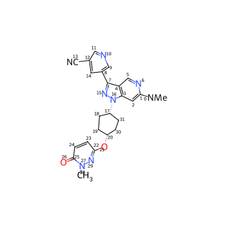 CNc1cc2c(cn1)c(-c1cncc(C#N)c1)nn2[C@H]1CC[C@@H](Oc2ccc(=O)n(C)n2)CC1